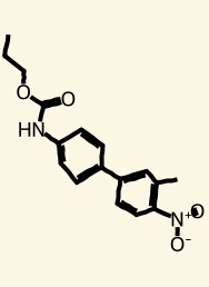 CCCOC(=O)Nc1ccc(-c2ccc([N+](=O)[O-])c(C)c2)cc1